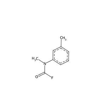 Cc1cccc(N(C)C(=O)F)c1